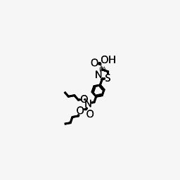 CCCCOC(=O)N(Cc1ccc(C2=N[C@H](C(=O)O)CS2)cc1)OCCCC